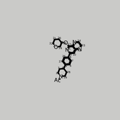 CC(=O)N1CCC(c2ccc(-c3cc4nccnc4c(O[C@@H]4CCCOC4)n3)cc2)CC1